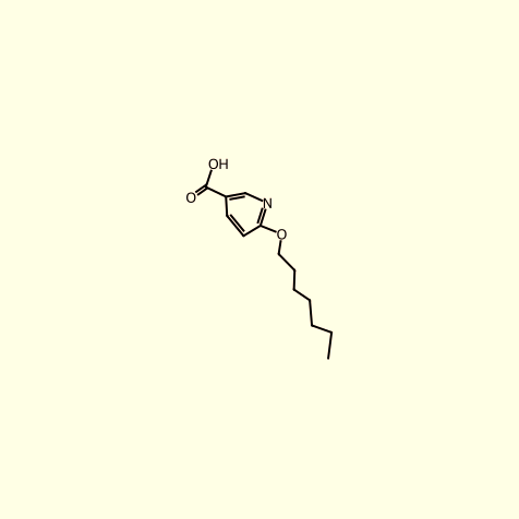 CCCCCCCOc1ccc(C(=O)O)cn1